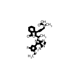 COc1cc(F)cc(-c2nn(C(C)c3oc(=O)c4ccccc4c3C#CCN(C)C(=O)O)c3ncnc(N)c23)c1